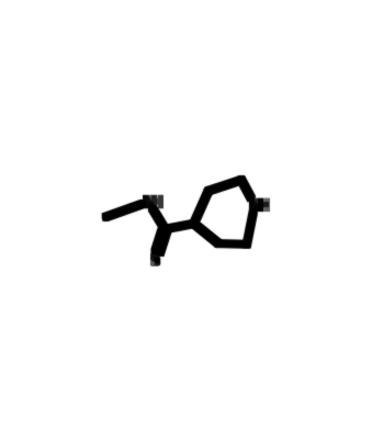 CNC(=S)C1CCNCC1